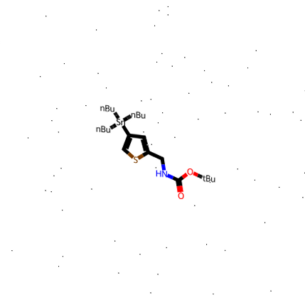 CCC[CH2][Sn]([CH2]CCC)([CH2]CCC)[c]1csc(CNC(=O)OC(C)(C)C)c1